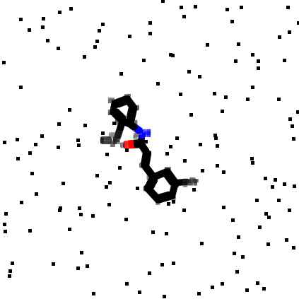 CCCc1cccc(C=CC(=O)Nc2ccccc2C(=O)O)c1